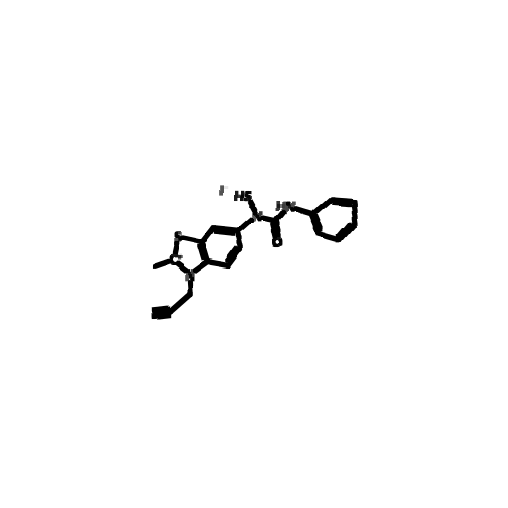 C#CCn1c2ccc(N(S)C(=O)Nc3ccccc3)cc2s[c+]1C.[I-]